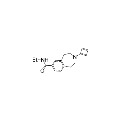 CCNC(=O)c1ccc2c(c1)CCN(C1=CC=C1)CC2